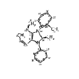 C=NC1=C(/N=C\C)N(c2ccccc2)[C@H](C)N1c1ccccc1C